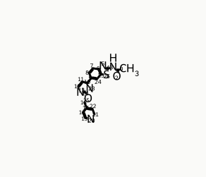 CC(=O)Nc1nc2ccc(-c3ccnc(OCc4ccncc4)n3)cc2s1